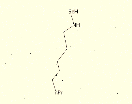 CCCCCCCCN[SeH]